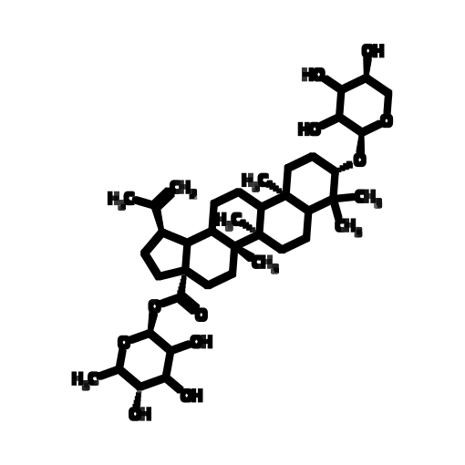 C=C(C)[C@@H]1CC[C@]2(C(=O)O[C@@H]3OC(C)[C@@H](O)C(O)C3O)CC[C@]3(C)C(CCC4[C@@]5(C)CC[C@H](O[C@@H]6OC[C@H](O)C(O)C6O)C(C)(C)C5CC[C@]43C)C12